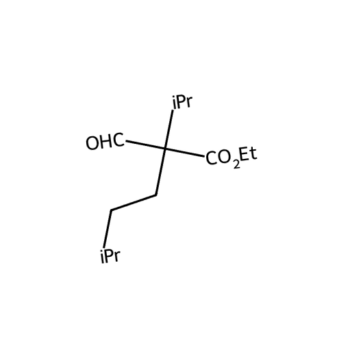 CCOC(=O)C(C=O)(CCC(C)C)C(C)C